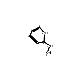 ONC1C=CC=CN1